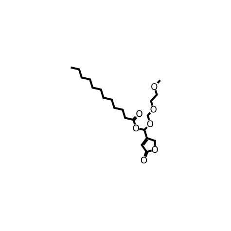 CCCCCCCCCCCC(=O)OC(OCOCCOC)C1=CC(=O)OC1